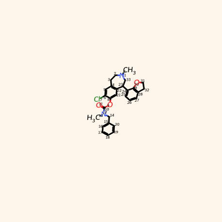 CN1CCc2cc(Cl)c(OC(=O)N(C)Cc3ccccc3)cc2C(c2cccc3c2OCC3)C1